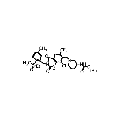 CC[SH](C)(=O)c1ccc(C)cc1Cn1c(=O)[nH]c2c(Cl)c(CN3CCC[C@@H](NC(=O)OC(C)(C)C)C3)c(C(F)(F)F)cc2c1=O